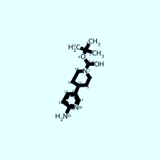 CC(C)(C)OC(O)N1CCC(c2ccc(N)nc2)CC1